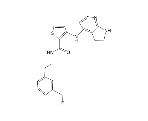 O=C(NCCc1cccc(CF)c1)c1sccc1Nc1ccnc2[nH]ccc12